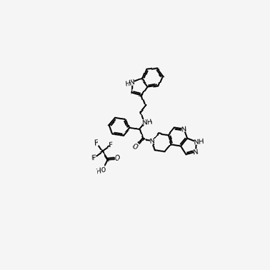 O=C(C(NCCc1c[nH]c2ccccc12)c1ccccc1)N1CCc2c(cnc3[nH]ncc23)C1.O=C(O)C(F)(F)F